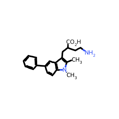 Cc1c(CC(CCN)C(=O)O)c2cc(-c3ccccc3)ccc2n1C